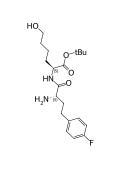 CC(C)(C)OC(=O)[C@H](CCCCO)NC(=O)[C@@H](N)CCc1ccc(F)cc1